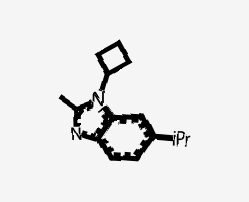 Cc1nc2ccc(C(C)C)cc2n1C1CCC1